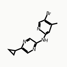 Cc1cc(Nc2cnc(C3CC3)cn2)ncc1Br